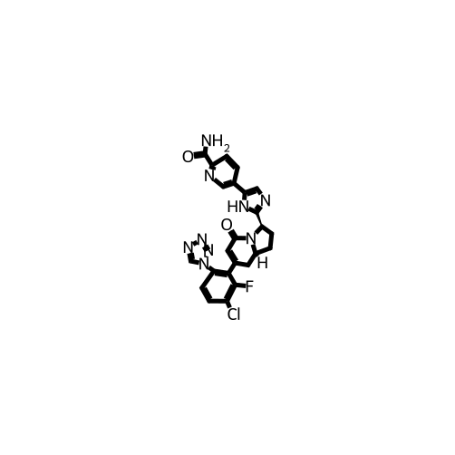 NC(=O)c1ccc(-c2cnc([C@H]3CC[C@@H]4CC(c5c(-n6cnnn6)ccc(Cl)c5F)=CC(=O)N43)[nH]2)cn1